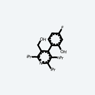 CCCc1c(C(C)C)nc(C(C)C)c(CO)c1-c1ccc(F)cc1O